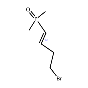 CP(C)(=O)/C=C/CCBr